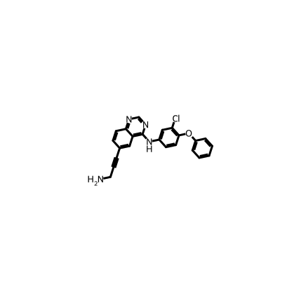 NCC#Cc1ccc2ncnc(Nc3ccc(Oc4ccccc4)c(Cl)c3)c2c1